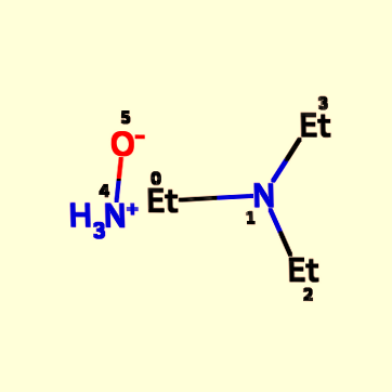 CCN(CC)CC.[NH3+][O-]